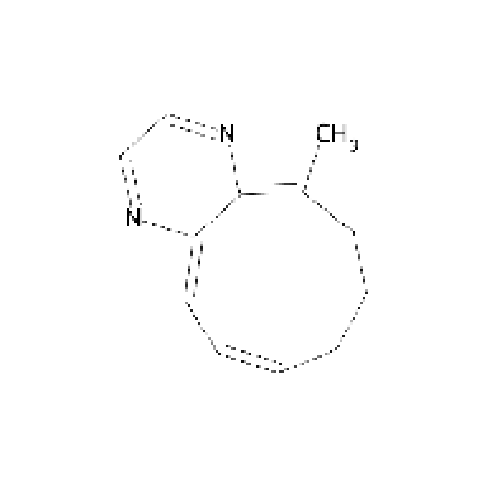 C\C1=c2/nccn/c2=C/C=C\CCC1